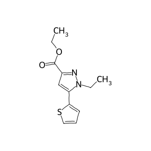 CCOC(=O)c1cc(-c2cccs2)n(CC)n1